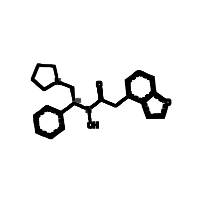 O=C(Cc1cccc2occc12)N(O)[C@H](CN1CCCC1)c1ccccc1